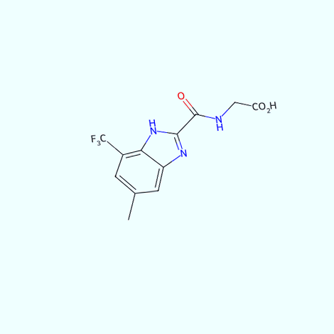 Cc1cc(C(F)(F)F)c2[nH]c(C(=O)NCC(=O)O)nc2c1